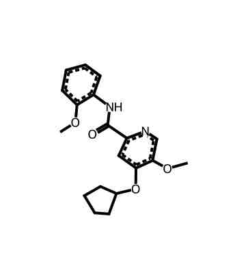 COc1ccccc1NC(=O)c1cc(OC2CCCC2)c(OC)cn1